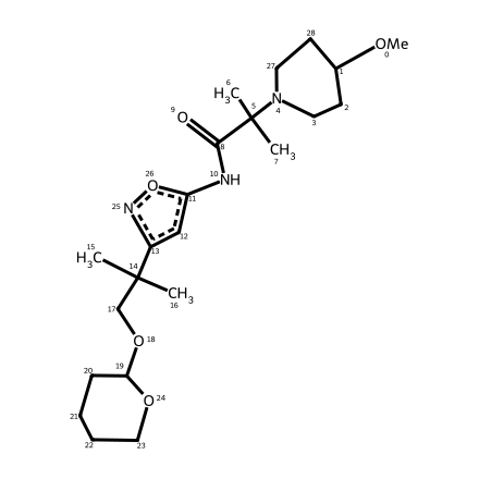 COC1CCN(C(C)(C)C(=O)Nc2cc(C(C)(C)COC3CCCCO3)no2)CC1